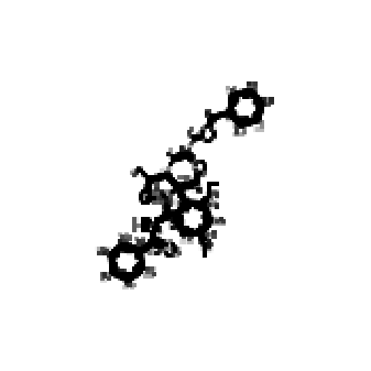 C[C@H](O)[C@@H]1C[C@H](COCc2ccccc2)OC[C@@]1(NC(=S)NC(=O)c1ccccc1)c1ccc(F)cc1F